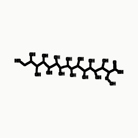 O=C(O)C(OO)C(O)C(O)C(O)C(O)C(O)C(O)C(O)C(O)C(O)C(O)C(O)C(O)C(O)CO